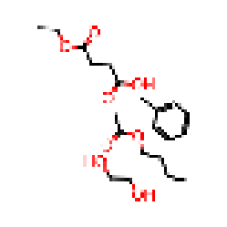 CCCCOC(C)=O.CCOC(=O)CCC(=O)O.Cc1ccccc1.OCCO